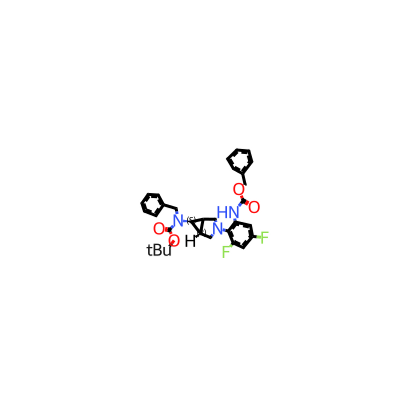 CC(C)(C)OC(=O)N(Cc1ccccc1)[C@H]1C2CN(c3c(F)cc(F)cc3NC(=O)OCc3ccccc3)C[C@@H]21